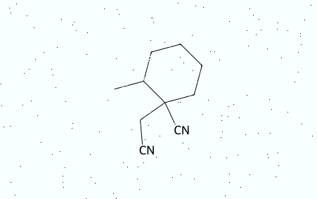 CC1CCCCC1(C#N)CC#N